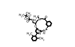 Cc1cccc(C)c1-c1cc2nc(n1)NSc1cccc(c1)C(=O)CN(C)CC(CNC(=O)OC(C)(C)C)O2